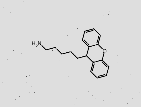 NCCCCCC1c2ccccc2Oc2ccccc21